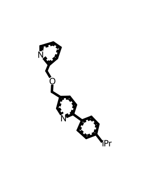 CC(C)c1ccc(-c2ccc(COCc3ccccn3)cn2)cc1